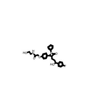 O=C(COc1ccc(C2C(CCC(O)c3ccc(F)cc3)C(=O)N2c2ccccc2)cc1)NCCO